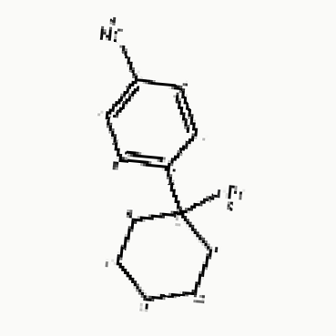 CCCC1(c2ccc(C#N)cc2)CCCCC1